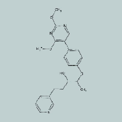 COc1ncc(-c2ccc(OC(C)C(O)CCc3cccnc3)cc2)c(OC)n1